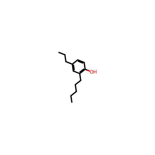 CCCCCc1cc(CCC)ccc1O